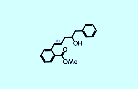 COC(=O)c1ccccc1/C=C/CC(O)Cc1ccccc1